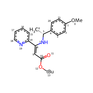 COc1ccc([C@@H](C)N/C(=C\C(=O)OC(C)(C)C)c2ccccn2)cc1